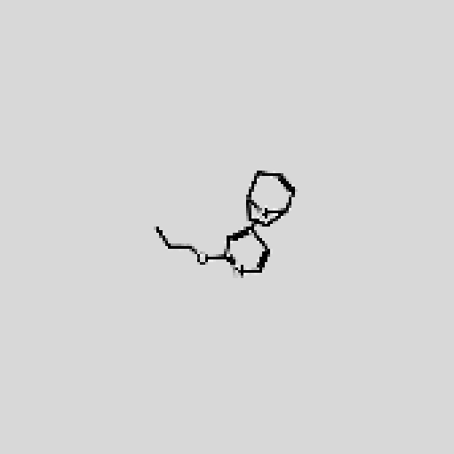 CCCOc1cc(N2C3C=CCC2CC3)ccn1